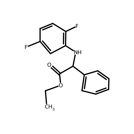 CCOC(=O)C(Nc1cc(F)ccc1F)c1ccccc1